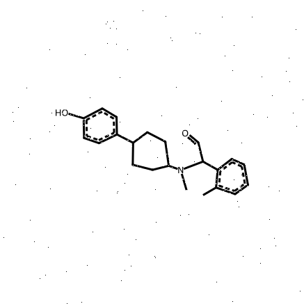 Cc1ccccc1C(C=O)N(C)C1CCC(c2ccc(O)cc2)CC1